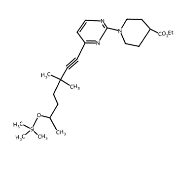 CCOC(=O)C1CCN(c2nccc(C#CC(C)(C)CCC(C)O[Si](C)(C)C)n2)CC1